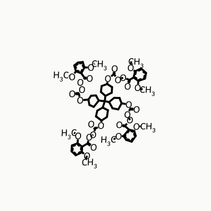 COc1cccc(OC)c1C(=O)OOC(=O)OC1CCC(C(C2CCC(OC(=O)OOC(=O)c3c(OC)cccc3OC)CC2)(C2CCC(OC(=O)OOC(=O)c3c(OC)cccc3OC)CC2)C2CCC(OC(=O)OOC(=O)c3c(OC)cccc3OC)CC2)CC1